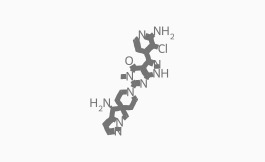 Cn1c(N2CCC3(CC2)Cn2nccc2[C@H]3N)nc2[nH]nc(-c3ccnc(N)c3Cl)c2c1=O